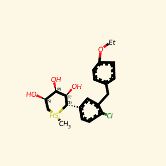 CCOc1ccc(Cc2cc([C@H]3[C@H](O)[C@H](O)[C@H](O)C[SH]3C)ccc2Cl)cc1